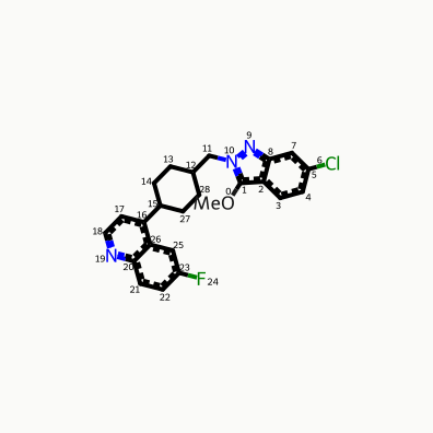 COc1c2ccc(Cl)cc2nn1CC1CCC(c2ccnc3ccc(F)cc23)CC1